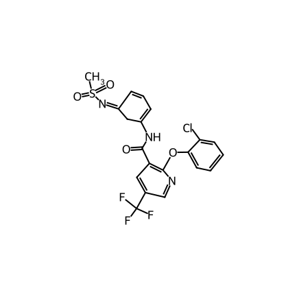 CS(=O)(=O)N=C1C=CC=C(NC(=O)c2cc(C(F)(F)F)cnc2Oc2ccccc2Cl)C1